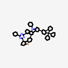 c1ccc(-c2nc(-c3ccccc3)nc(-c3cccc4sc5ccc(-c6ccc7c(c6)c6cc(-c8ccc9c(c8)-c8ccccc8C9(c8ccccc8)c8ccccc8)ccc6n7-c6ccccc6)cc5c34)n2)cc1